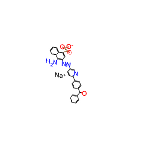 Nc1c(N=Nc2ccc(-c3ccc(C(=O)c4ccccc4)cc3)nc2)cc(S(=O)(=O)[O-])c2ccccc12.[Na+]